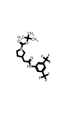 CC(C)(C)OC(=O)N1CCC(CC(=O)Nc2cc(C(F)(F)F)cc(C(F)(F)F)c2)C1